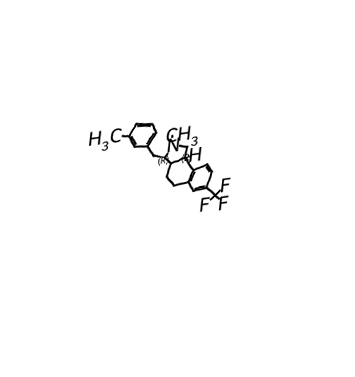 Cc1cccc(C[C@@H]2C3CCc4cc(C(F)(F)F)ccc4[C@@H]3CN2C)c1